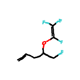 C=CCC(CF)OC(F)=C(F)F